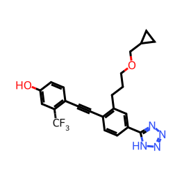 Oc1ccc(C#Cc2ccc(-c3nnn[nH]3)cc2CCCOCC2CC2)c(C(F)(F)F)c1